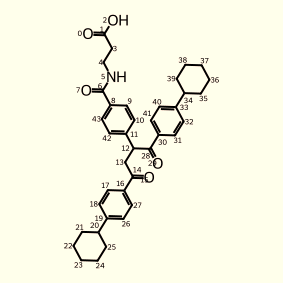 O=C(O)CCNC(=O)c1ccc(C(CC(=O)c2ccc(C3CCCCC3)cc2)C(=O)c2ccc(C3CCCCC3)cc2)cc1